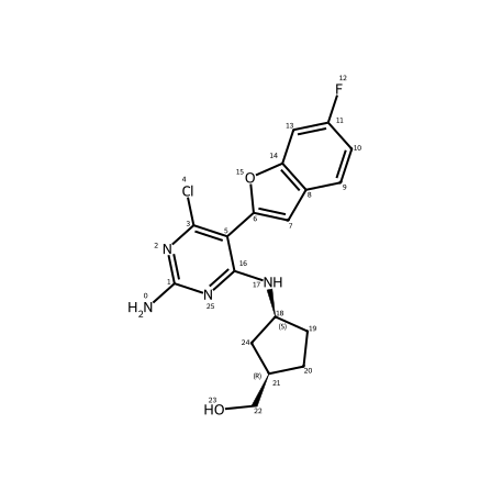 Nc1nc(Cl)c(-c2cc3ccc(F)cc3o2)c(N[C@H]2CC[C@@H](CO)C2)n1